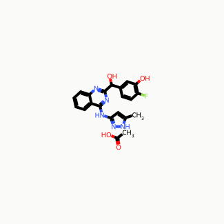 CC(=O)O.Cc1cc(Nc2nc(C(O)c3ccc(F)c(O)c3)nc3ccccc23)n[nH]1